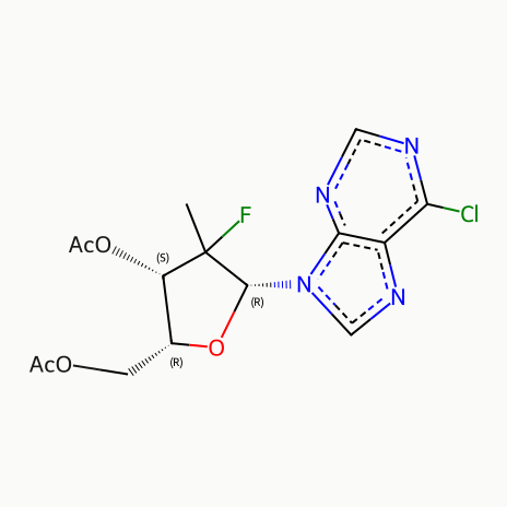 CC(=O)OC[C@H]1O[C@@H](n2cnc3c(Cl)ncnc32)C(C)(F)[C@H]1OC(C)=O